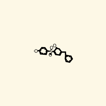 [O]c1ccc(S(=O)(=O)C2=CC=C(Cc3ccccc3)CC2=O)cc1